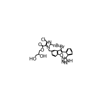 CCCCc1nc(Cl)c(C(=O)OCC(O)CO)n1Cc1ccc2oc(-c3ccccc3-c3nnn[nH]3)c(Br)c2c1